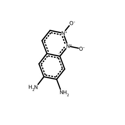 Nc1cc2cc[n+]([O-])[n+]([O-])c2cc1N